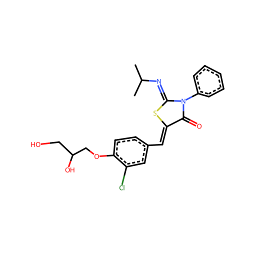 CC(C)/N=C1\S/C(=C\c2ccc(OCC(O)CO)c(Cl)c2)C(=O)N1c1ccccc1